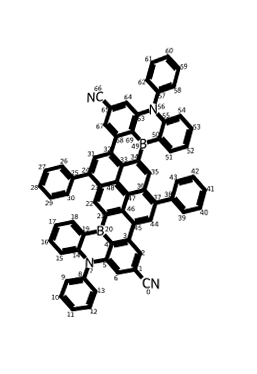 N#Cc1cc2c3c(c1)N(c1ccccc1)c1ccccc1B3c1cc3c(-c4ccccc4)cc4c5c(cc6c(-c7ccccc7)cc-2c1c6c35)B1c2ccccc2N(c2ccccc2)c2cc(C#N)cc-4c21